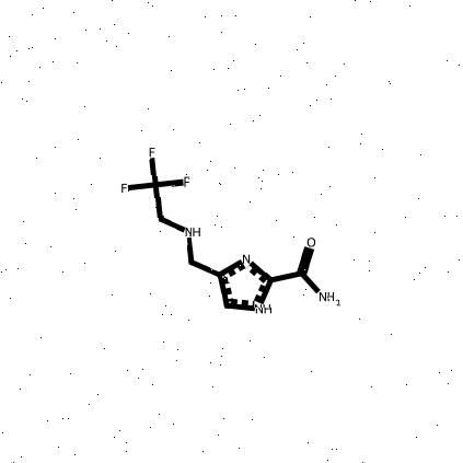 NC(=O)c1nc(CNCC(F)(F)F)c[nH]1